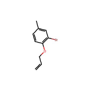 C=CCOc1ccc(C)cc1Br